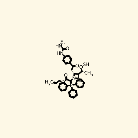 C=CCOC(=O)C(N1C(=O)[C@H]([C@@H](C)OS)[C@H]1CC(=O)c1ccc(NC(=O)NCC)cc1)=P(c1ccccc1)(c1ccccc1)c1ccccc1